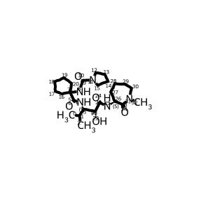 CC(C)[C@H](NC(=O)C1(NC(=O)N2CCCC2)CCCCC1)[C@@H](O)C(=O)N[C@H]1CCCCN(C)C1=O